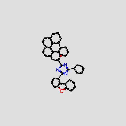 c1ccc(-c2nc(-c3ccc4c(ccc5ccc6cccc(-c7ccccc7)c6c54)c3)nc(-c3cccc4oc5ccccc5c34)n2)cc1